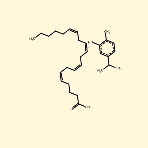 CCCCC/C=C\C/C=C\C/C=C\C/C=C\CCCC(=O)O.Cc1ccc(C(C)C)cc1O